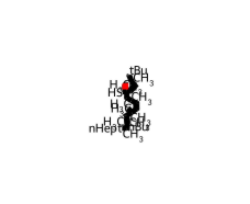 CCCCCCCC(C)(CCCC)C(C)(C)CC(C)(C)/C=C\C(C)(C)CC(C)(S)/C=C\C(C)(C)CC(C)(C)C